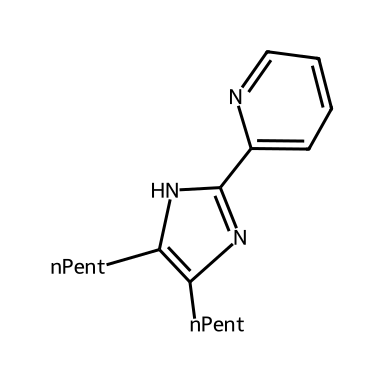 CCCCCc1nc(-c2ccccn2)[nH]c1CCCCC